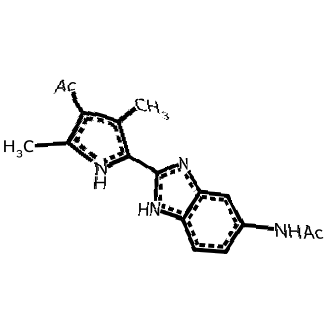 CC(=O)Nc1ccc2[nH]c(-c3[nH]c(C)c(C(C)=O)c3C)nc2c1